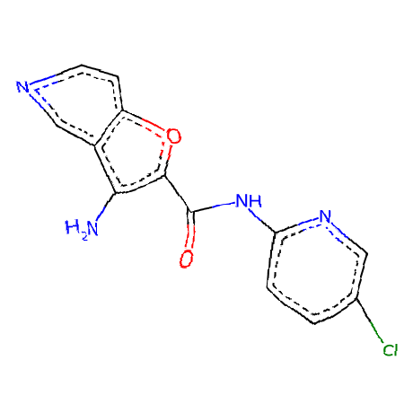 Nc1c(C(=O)Nc2ccc(Cl)cn2)oc2ccncc12